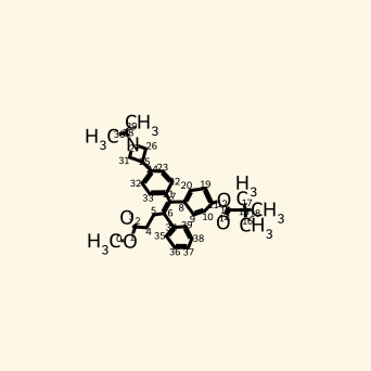 COC(=O)CCC(=C(c1ccc(OC(=O)C(C)(C)C)cc1)c1ccc(C2CN(C(C)C)C2)cc1)c1ccccc1